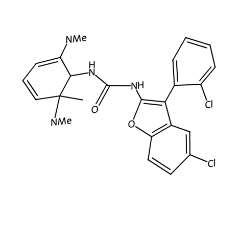 CNC1=CC=CC(C)(NC)C1NC(=O)Nc1oc2ccc(Cl)cc2c1-c1ccccc1Cl